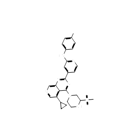 C[C@@H]1C(S(C)(=O)=O)NCCN1c1nc(-c2ccnc(Nc3ccc(F)cc3)c2)nc2cncc(C3CC3)c12